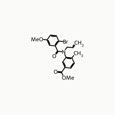 C=CCN(C(=O)c1cc(OC)ccc1Br)c1cc(C(=O)OC)ccc1C